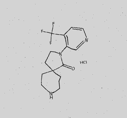 Cl.O=C1N(c2cnccc2C(F)(F)F)CCC12CCNCC2